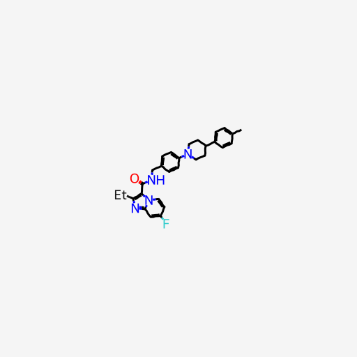 CCc1nc2cc(F)ccn2c1C(=O)NCc1ccc(N2CCC(c3ccc(C)cc3)CC2)cc1